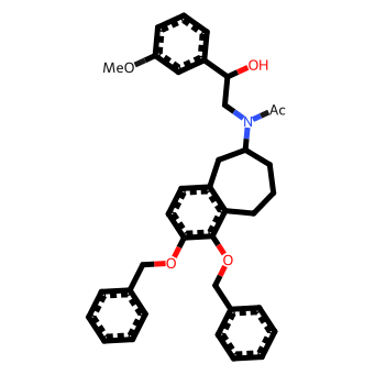 COc1cccc(C(O)CN(C(C)=O)C2CCCc3c(ccc(OCc4ccccc4)c3OCc3ccccc3)C2)c1